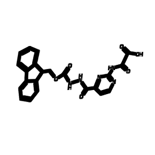 O=C(NNC(=O)c1ccnc(NC(=O)C(=O)O)n1)OCC1c2ccccc2-c2ccccc21